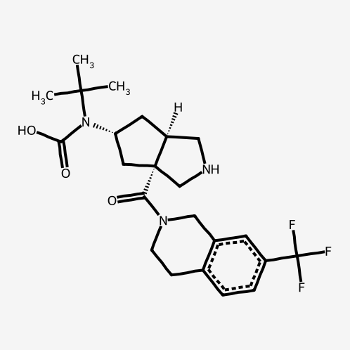 CC(C)(C)N(C(=O)O)[C@@H]1C[C@H]2CNC[C@@]2(C(=O)N2CCc3ccc(C(F)(F)F)cc3C2)C1